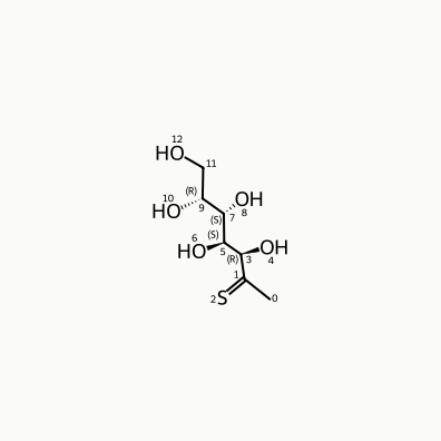 CC(=S)[C@H](O)[C@@H](O)[C@@H](O)[C@H](O)CO